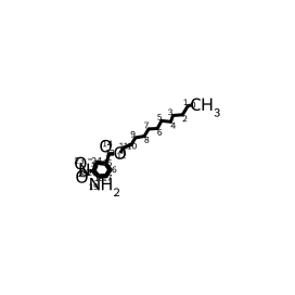 CCCCCCCCCCCCOC(=O)c1ccc(N)c([N+](=O)[O-])c1